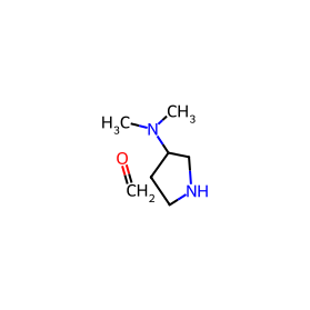 C=O.CN(C)C1CCNC1